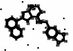 C1=C(c2cccc3ccccc23)SC2C(NCc3ccc4c(c3)OCO4)=NCNC12